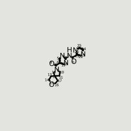 O=C(Nc1ncc(C(=O)N2CCC3(CCOCC3)C2)cn1)c1cnccn1